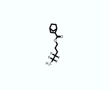 CC(F)(F)C(F)(F)CCCOC(=O)C1CC2CCC1C2